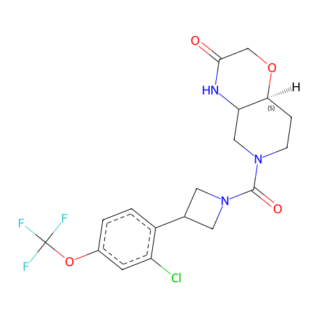 O=C1CO[C@H]2CCN(C(=O)N3CC(c4ccc(OC(F)(F)F)cc4Cl)C3)CC2N1